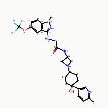 Cc1ccc(C2(O)CCC(N3CC(NC(=O)CNc4nn(C)c5ccc(OC(F)(F)F)cc45)C3)CC2)cn1